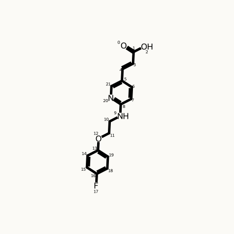 O=C(O)/C=C/c1ccc(NCCOc2ccc(F)cc2)nc1